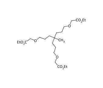 CCOC(=O)COCCCC(C)(CCCOCC(=O)OCC)CCCOCC(=O)OCC